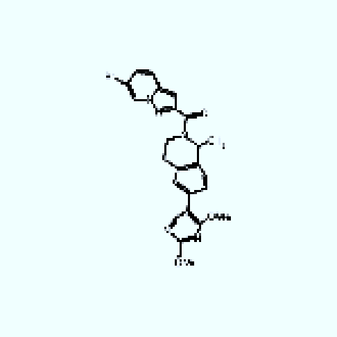 COc1ncc(-c2ccc3c(c2)CCN(C(=O)c2cc4ccc(Br)cn4n2)C3C)c(OC)n1